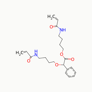 C=CC(=O)NCCCCOC(=O)C(OCCCCNC(=O)C=C)c1ccccc1